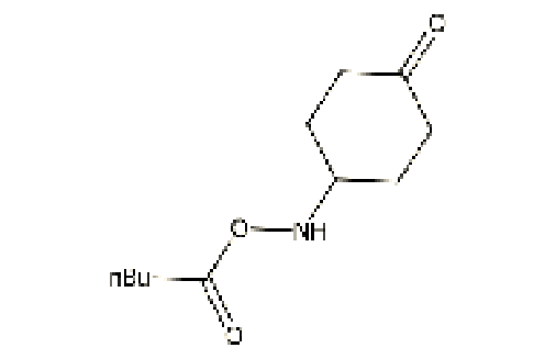 CCCCC(=O)ONC1CCC(=O)CC1